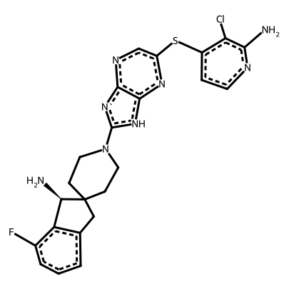 Nc1nccc(Sc2cnc3nc(N4CCC5(CC4)Cc4cccc(F)c4[C@H]5N)[nH]c3n2)c1Cl